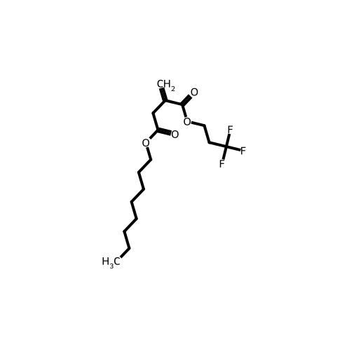 C=C(CC(=O)OCCCCCCCC)C(=O)OCCC(F)(F)F